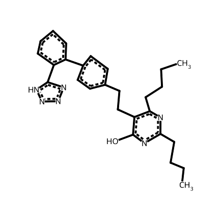 CCCCc1nc(O)c(CCc2ccc(-c3ccccc3-c3nnn[nH]3)cc2)c(CCCC)n1